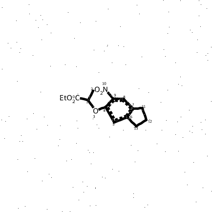 CCOC(=O)C(C)Oc1cc2c(cc1[N+](=O)[O-])CCC2